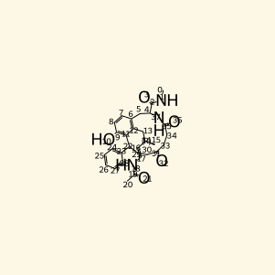 CNC(=O)C1Cc2ccc(O)c(c2C[C@@H](C)C=CNC(C)=O)C(c2ccccc2)CCC(=O)CCC(=O)N1